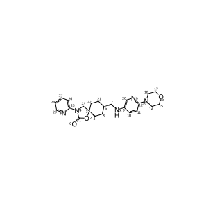 O=C1O[C@]2(CC[C@H](CNc3ccc(N4CCOCC4)nc3)CC2)CN1c1ccccn1